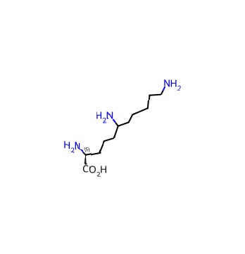 NCCCCCC(N)CCC[C@H](N)C(=O)O